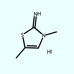 Cc1cn(C)c(=N)s1.I